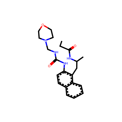 CCC(=O)NC(C)Cc1c(NC(=O)NCN2CCOCC2)ccc2ccccc12